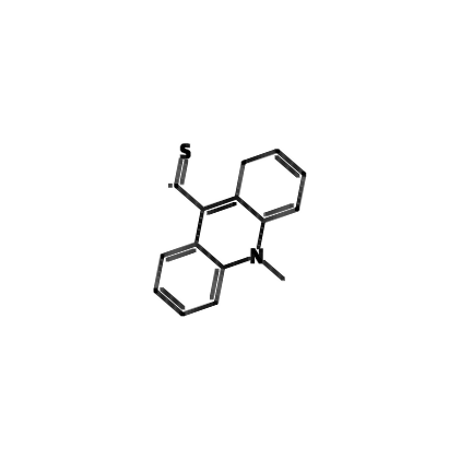 CN1C2=CC=CCC2=C([C]=S)c2ccccc21